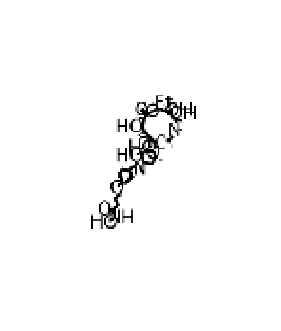 CC[C@H]1OC(=O)[C@H](C)[C@@H](O)[C@H](C)[C@@H](O[C@@H]2O[C@H](C)C[C@H](N(C)Cc3ccc(OCCCC(=O)NO)cc3)[C@H]2O)[C@](C)(O)C[C@@H](C)CN(C)[C@H](C)[C@@H](O)[C@]1(C)O